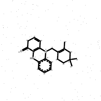 CC1=C(CN2C3=C(Nc4ccccc42)C(=O)CC=C3)CCC(C)(C)C1